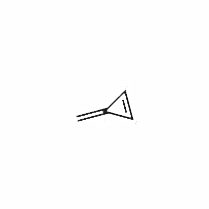 C=C1C=C1